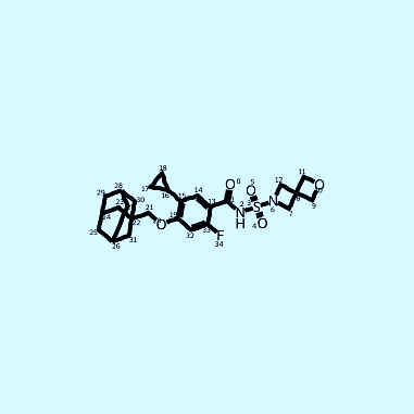 O=C(NS(=O)(=O)N1CC2(COC2)C1)c1cc(C2CC2)c(OCC23CC4CC(CC(C4)C2)C3)cc1F